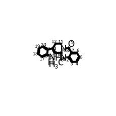 CN1c2ccccc2C(=O)N2CCc3c([nH]c4ccccc34)[C@H]21